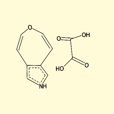 C1=Cc2c[nH]cc2C=CO1.O=C(O)C(=O)O